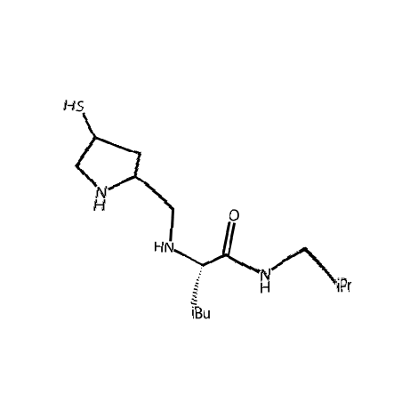 CCC(C)[C@H](NCC1CC(S)CN1)C(=O)NCC(C)C